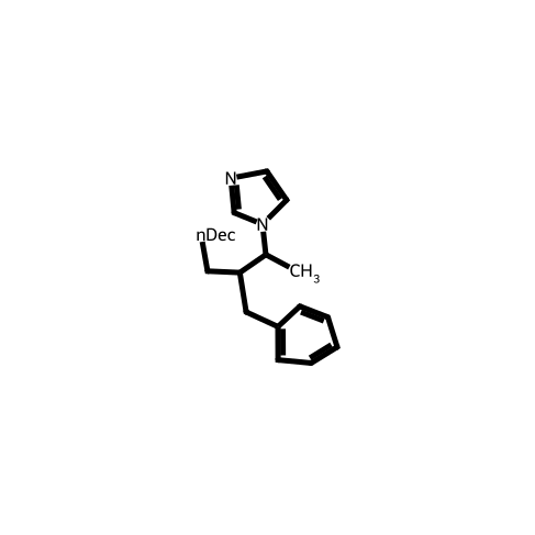 CCCCCCCCCCCC(Cc1ccccc1)C(C)n1ccnc1